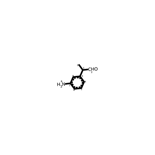 CC(C=O)c1cccc(N)c1